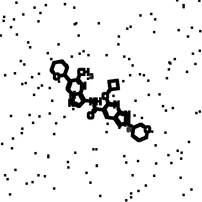 Cc1nc2c(NC(=O)c3cc4cn([C@H]5CCCOC5)nc4nc3OC3CCC3)cnn2cc1C1CCCCO1